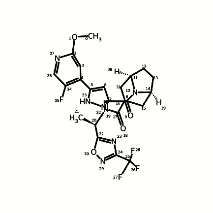 COc1cc(-c2cc(C(=O)N3[C@@H]4CC[C@H]3CC(C(=O)N[C@H](C)c3nc(C(F)(F)F)no3)C4)n[nH]2)c(F)cn1